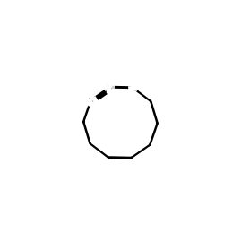 C1CCC/N=N\SCCC1